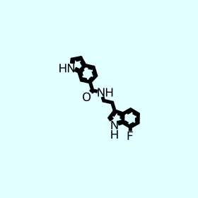 O=C(NCCc1c[nH]c2c(F)cccc12)c1ccc2cc[nH]c2c1